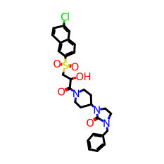 O=C(C(O)CS(=O)(=O)c1ccc2cc(Cl)ccc2c1)N1CCC(N2CCN(Cc3ccccc3)C2=O)CC1